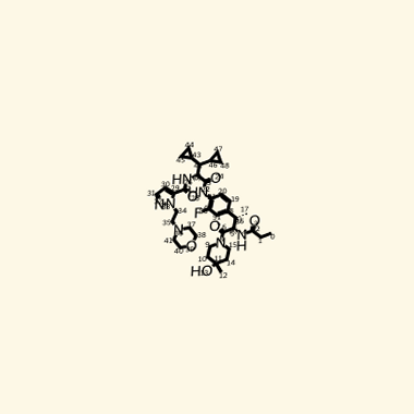 CCC(=O)N[C@@H](C(=O)N1CCC(C)(O)CC1)[C@@H](C)c1ccc(NC(=O)[C@@H](NC(=O)c2ccnn2CCN2CCOCC2)C(C2CC2)C2CC2)c(F)c1